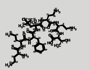 C[C@@H](O)[C@H](NC(=O)[C@H](CCN)NC(=O)[C@H](CCN)NC(=O)[C@](Cl)(CC(C)(C)Cl)NC(=O)[C@@H](Cc1ccccc1)NC(=O)[C@H](CCN)NC(=O)[C@@H](N)CCN)C(=O)O